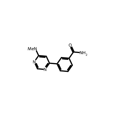 CNc1cc(-c2cccc(C(N)=O)c2)ncn1